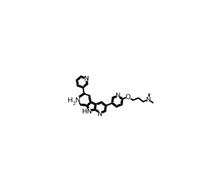 C=C(/C=c1\c(=C/N)[nH]c2ncc(-c3ccc(OCCCN(C)C)nc3)cc12)c1cccnc1